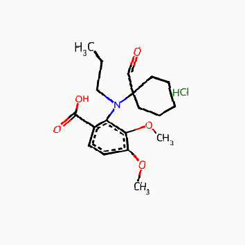 CCCN(c1c(C(=O)O)ccc(OC)c1OC)C1(C=O)CCCCC1.Cl